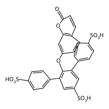 O=c1ccc2ccc(Oc3c(-c4ccc(S(=O)(=O)O)cc4)cc(S(=O)(=O)O)cc3-c3ccc(S(=O)(=O)O)cc3)cc2o1